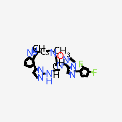 CN1CCCc2c3c(cccc3nn2C)-c2ccnc(n2)N[C@H]2C[C@@H](C1=O)N(c1nccn3c(-c4ccc(F)cc4F)ncc13)C2